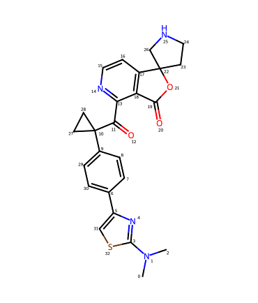 CN(C)c1nc(-c2ccc(C3(C(=O)c4nccc5c4C(=O)OC54CCNC4)CC3)cc2)cs1